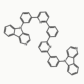 c1cc(-c2cccc(-c3cccc(-n4c5ccccc5c5cnccc54)c3)n2)cc(-c2cccc(-c3cccc(-n4c5ccccc5c5cnccc54)c3)n2)c1